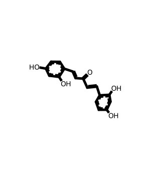 O=C(C=Cc1ccc(O)cc1O)C=Cc1ccc(O)cc1O